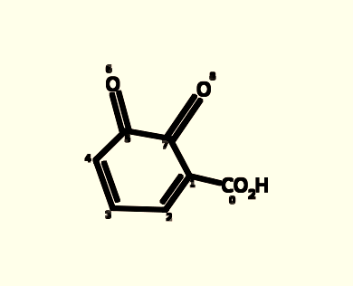 O=C(O)C1=CC=CC(=O)C1=O